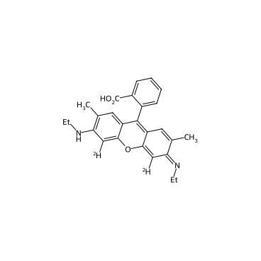 [2H]c1c2oc3c([2H])c(NCC)c(C)cc3c(-c3ccccc3C(=O)O)c-2cc(C)/c1=N/CC